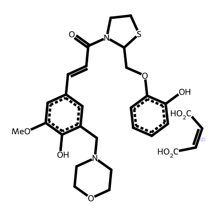 COc1cc(C=CC(=O)N2CCSC2COc2ccccc2O)cc(CN2CCOCC2)c1O.O=C(O)/C=C\C(=O)O